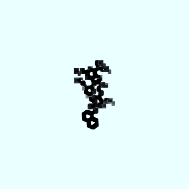 C#C[C@H]1C[C@@H](CO[P@@](=O)(N[C@@H](C)C(=O)OCC(C)(C)C)Oc2cccc3ccccc23)O[C@H]1n1cnc2c(N(C)C)nc(N)nc21